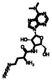 CN(C)c1ncnc2c1ncn2[C@@H]1O[C@H](CO)C(NC(=O)C(N)CCN=[N+]=[N-])[C@@H]1O